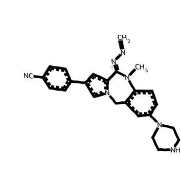 C=N/N=C1/c2cc(-c3ccc(C#N)cc3)cn2Cc2cc(N3CCNCC3)ccc2N1C